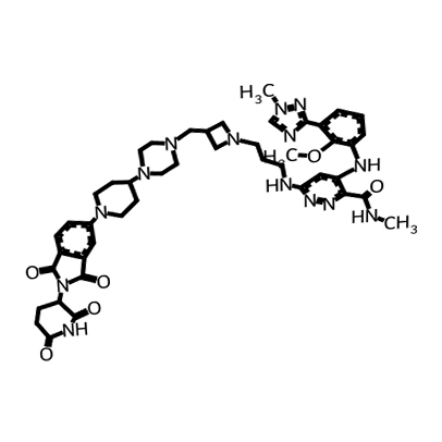 CNC(=O)c1nnc(NCCCN2CC(CN3CCN(C4CCN(c5ccc6c(c5)C(=O)N(C5CCC(=O)NC5=O)C6=O)CC4)CC3)C2)cc1Nc1cccc(-c2ncn(C)n2)c1OC